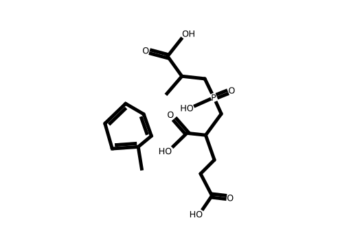 CC(CP(=O)(O)CC(CCC(=O)O)C(=O)O)C(=O)O.Cc1ccccc1